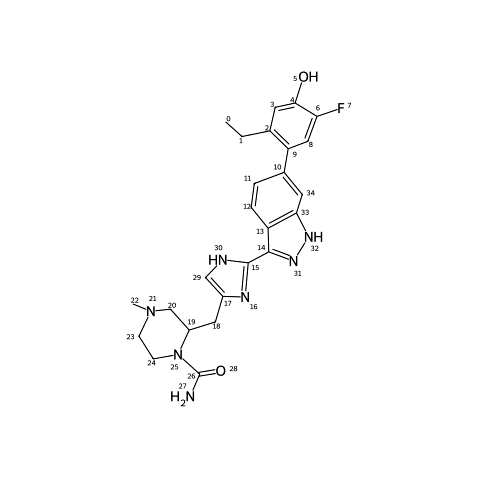 CCc1cc(O)c(F)cc1-c1ccc2c(-c3nc(CC4CN(C)CCN4C(N)=O)c[nH]3)n[nH]c2c1